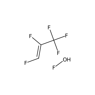 FC=C(F)C(F)(F)F.OF